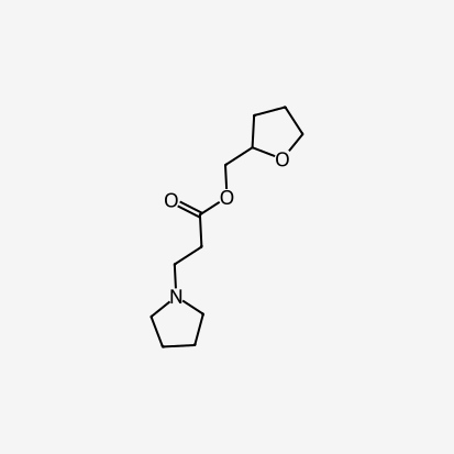 O=C(CCN1CCCC1)OCC1CCCO1